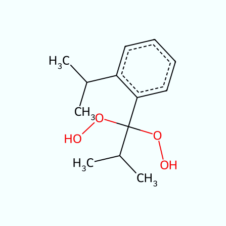 CC(C)c1ccccc1C(OO)(OO)C(C)C